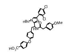 CCCCn1cc(-c2ccc(Cl)cc2Cl)nc1C(Cc1ccc(Oc2ccc(C(=O)O)cc2)cc1)NC(=O)Cc1ccc(OC)cc1